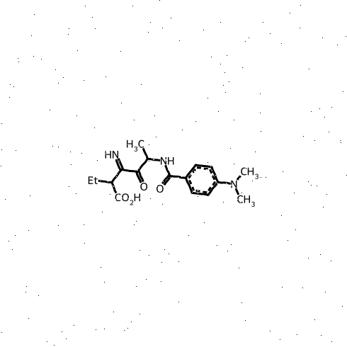 CCC(C(=N)C(=O)C(C)NC(=O)c1ccc(N(C)C)cc1)C(=O)O